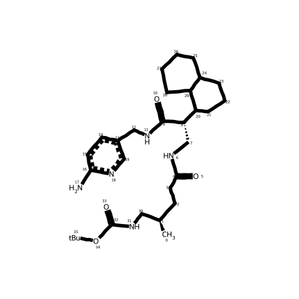 C[C@H](CCC(=O)NC[C@H](C(=O)NCc1ccc(N)nc1)C1CCCC2CCCCC21)CNC(=O)OC(C)(C)C